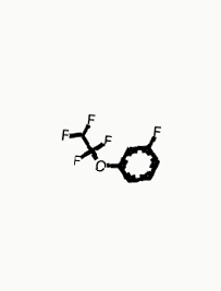 Fc1cccc(OC(F)(F)C(F)F)c1